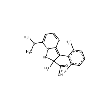 Cc1cccc(C)c1C1=C2N=CC=C(N(C)C)N2NC1(C)C(=O)O